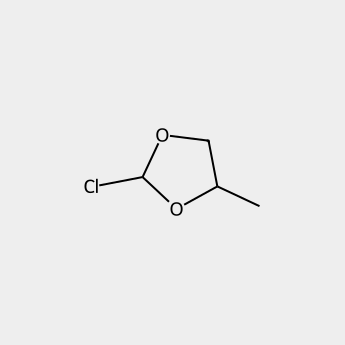 CC1COC(Cl)O1